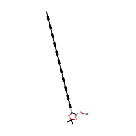 CC#CC#CC#CC#CC#CC#CC#CC#CC#CC#CC#C[C@H]1OC(C)(C)O[C@H]1OC=O